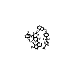 C#Cc1c(F)ccc2cccc(-c3ncc4c(N5C[C@H]6CC[C@@H](C5)N6)nc(OC[C@]56CCCN5C[C@H](Oc5ccc(S(=O)(=O)n7cnc(C8CC8)n7)cc5)C6)nc4c3F)c12